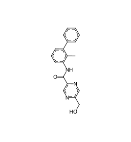 Cc1c(NC(=O)c2cnc(CO)cn2)cccc1-c1ccccc1